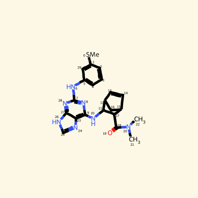 CSc1cccc(Nc2nc(NC3C4C=CC(C4)C3C(=O)N(C)C)c3nc[nH]c3n2)c1